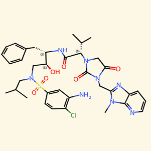 CC(C)CN(C[C@H](O)[C@H](Cc1ccccc1)NC(=O)[C@H](C(C)C)N1CC(=O)N(Cc2nc3cccnc3n2C)C1=O)S(=O)(=O)c1ccc(Cl)c(N)c1